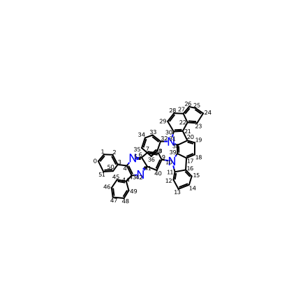 c1ccc(-c2nc3ccc(-n4c5ccccc5c5ccc6c7c8ccccc8ccc7n(-c7ccccc7)c6c54)cc3nc2-c2ccccc2)cc1